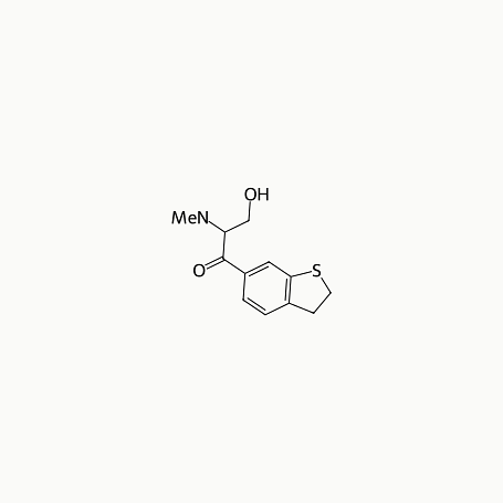 CNC(CO)C(=O)c1ccc2c(c1)SCC2